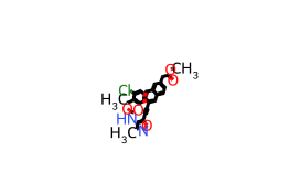 COC(=O)Cc1ccc2cc(C#Cc3onc(C)c3NC(=O)O[C@H](C)c3ccccc3Cl)ccc2c1